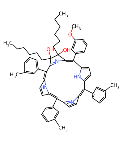 CCCCCCC1(O)c2nc(c(-c3cccc(OC)c3)c3ccc([nH]3)c(-c3cccc(C)c3)c3nc(c(-c4cccc(C)c4)c4ccc([nH]4)c2-c2cccc(C)c2)C=C3)C1(O)CCCCCC